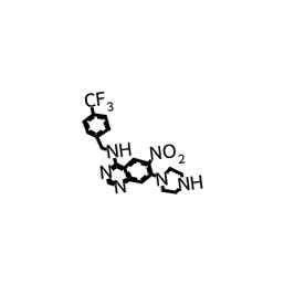 O=[N+]([O-])c1cc2c(NCc3ccc(C(F)(F)F)cc3)ncnc2cc1N1CCNCC1